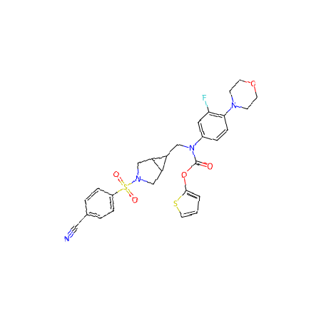 N#Cc1ccc(S(=O)(=O)N2CC3C(CN(C(=O)Oc4cccs4)c4ccc(N5CCOCC5)c(F)c4)C3C2)cc1